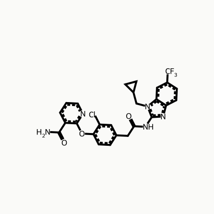 NC(=O)c1cccnc1Oc1ccc(CC(=O)Nc2nc3ccc(C(F)(F)F)cc3n2CC2CC2)cc1Cl